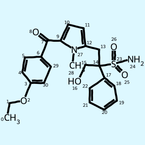 CCOc1ccc(C(=O)c2ccc(CC(CO)(c3ccccc3)S(N)(=O)=O)n2C)cc1